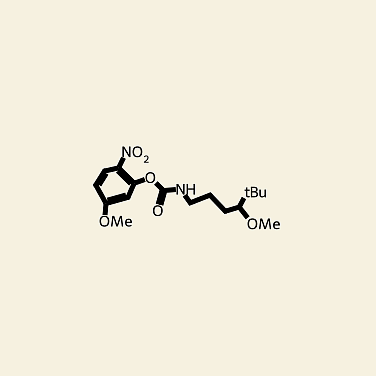 COc1ccc([N+](=O)[O-])c(OC(=O)NCCCC(OC)C(C)(C)C)c1